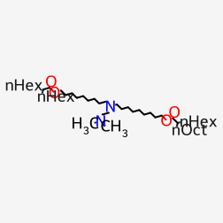 CCCCCCCCC(CCCCCC)C(=O)OCCCCCCCCCN(CCCCCCCCCOC(=O)C(CCCCCC)CCCCCC)CCN(C)C